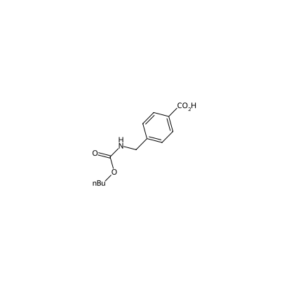 CCCCOC(=O)NCc1ccc(C(=O)O)cc1